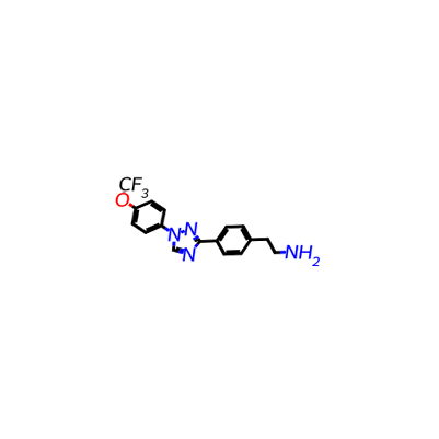 NCCc1ccc(-c2ncn(-c3ccc(OC(F)(F)F)cc3)n2)cc1